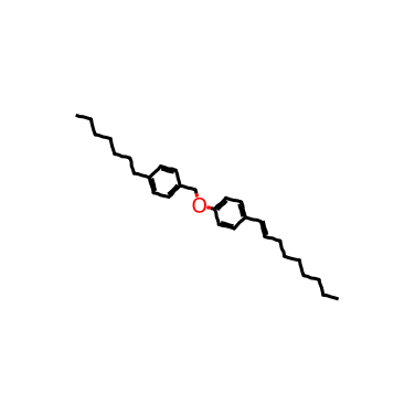 CCCCCCC/C=C/c1ccc(OCc2ccc(CCCCCCC)cc2)cc1